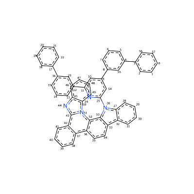 c1ccc(-c2cccc(-c3cc(-c4cccc(-c5ccccc5)c4)nc(-n4c5ccccc5c5ccc6c7ccccc7c7nc8ccccc8n7c6c54)c3)c2)cc1